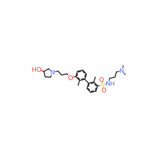 Cc1c(OCCCN2CCC(O)C2)cccc1-c1cccc(S(=O)(=O)NCCCN(C)C)c1C